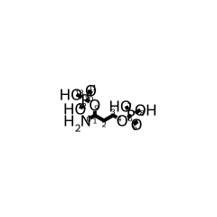 NC(CCOP(=O)(O)O)OP(=O)(O)O